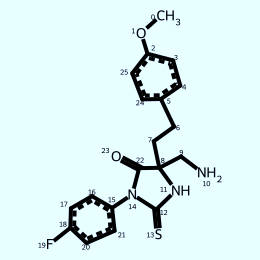 COc1ccc(CCC2(CN)NC(=S)N(c3ccc(F)cc3)C2=O)cc1